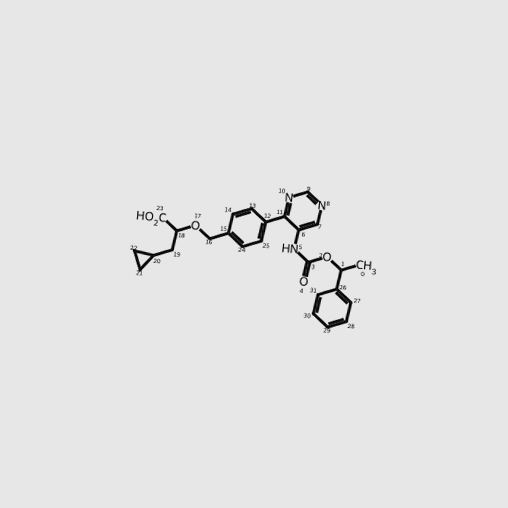 CC(OC(=O)Nc1cncnc1-c1ccc(COC(CC2CC2)C(=O)O)cc1)c1ccccc1